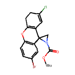 CC(C)(C)OC(=O)N1CC12C1=C(CCC(Cl)=C1)Oc1ccc(Br)cc12